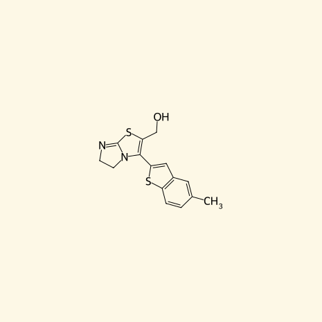 Cc1ccc2sc(C3=C(CO)SC4=NCCN43)cc2c1